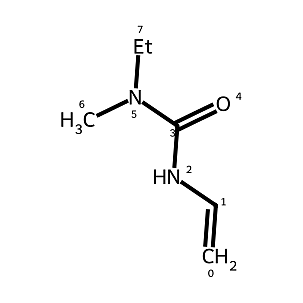 C=CNC(=O)N(C)CC